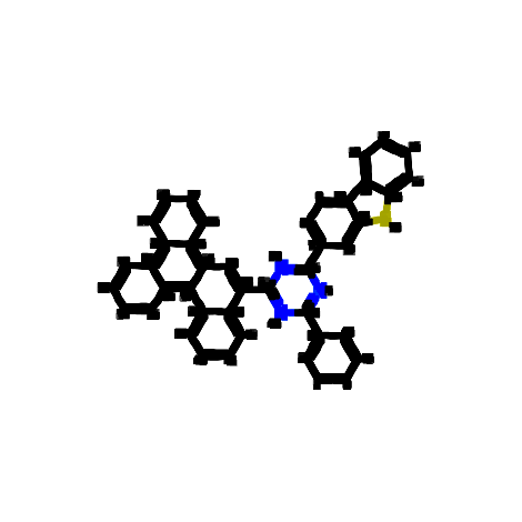 c1ccc(-c2nc(-c3ccc4c(c3)sc3ccccc34)nc(-c3cc4c5ccccc5c5ccccc5c4c4ccccc34)n2)cc1